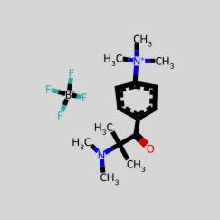 CN(C)C(C)(C)C(=O)c1ccc([N+](C)(C)C)cc1.F[B-](F)(F)F